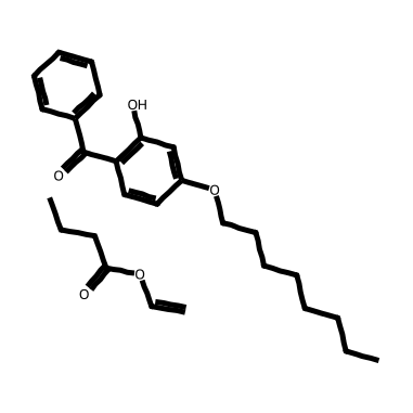 C=COC(=O)CCC.CCCCCCCCOc1ccc(C(=O)c2ccccc2)c(O)c1